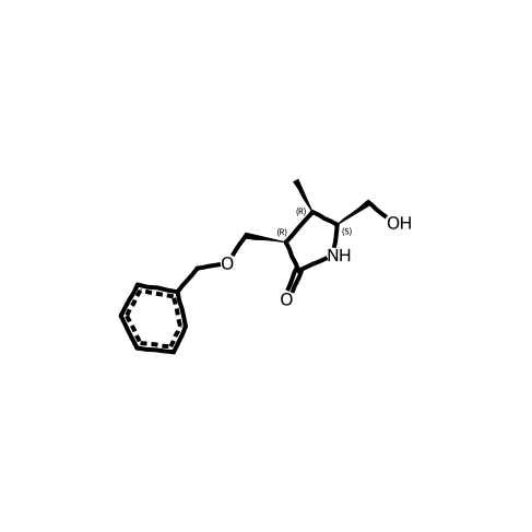 C[C@@H]1[C@H](COCc2ccccc2)C(=O)N[C@@H]1CO